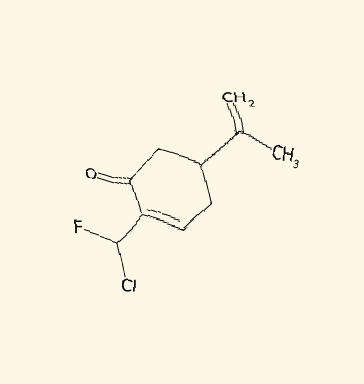 C=C(C)C1CC=C(C(F)Cl)C(=O)C1